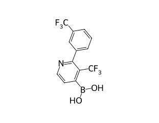 OB(O)c1ccnc(-c2cccc(C(F)(F)F)c2)c1C(F)(F)F